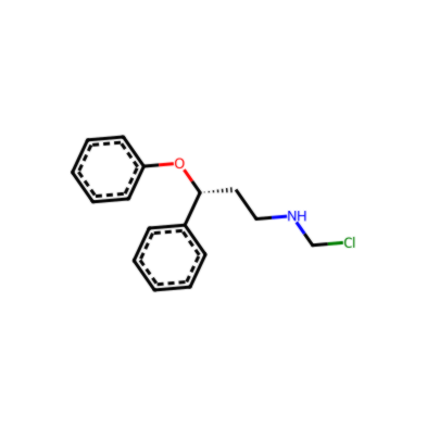 ClCNCC[C@@H](Oc1ccccc1)c1ccccc1